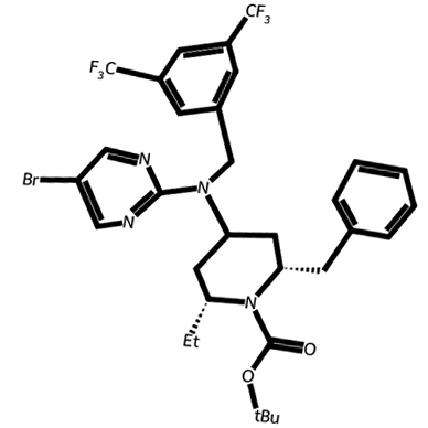 CC[C@@H]1CC(N(Cc2cc(C(F)(F)F)cc(C(F)(F)F)c2)c2ncc(Br)cn2)C[C@H](Cc2ccccc2)N1C(=O)OC(C)(C)C